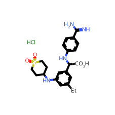 CCc1cc(NC2CCS(=O)(=O)CC2)cc(C(Nc2ccc(C(=N)N)cc2)C(=O)O)c1.Cl